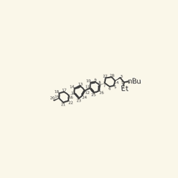 CCCCC(CC)C[C@H]1CC[C@H](c2ccc(-c3ccc([C@H]4CC[C@H](C)CC4)cc3)cc2)CC1